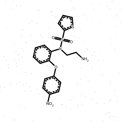 NCCN(c1ccccc1Oc1ccc([N+](=O)[O-])cc1)S(=O)(=O)c1cccs1